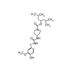 COc1cc(CNC(=O)NC2CCN(C(=O)OC(CC(C)C)CC(C)C)CC2)ccc1O